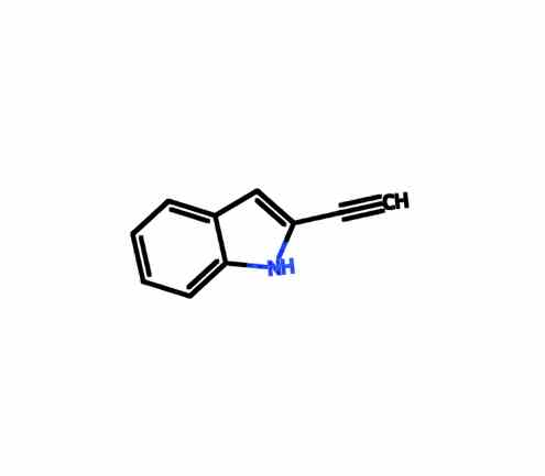 C#Cc1cc2ccccc2[nH]1